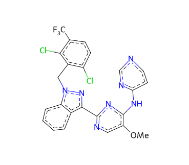 COc1cnc(-c2nn(Cc3c(Cl)ccc(C(F)(F)F)c3Cl)c3ccccc23)nc1Nc1ccncn1